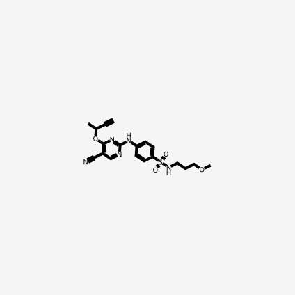 C#CC(C)Oc1nc(Nc2ccc(S(=O)(=O)NCCCOC)cc2)ncc1C#N